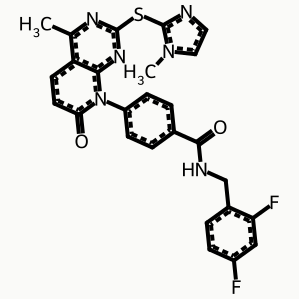 Cc1nc(Sc2nccn2C)nc2c1ccc(=O)n2-c1ccc(C(=O)NCc2ccc(F)cc2F)cc1